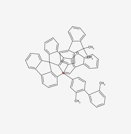 Cc1ccccc1-c1ccc(N(c2ccc3c(c2)C(C)(C)c2ccccc2-3)c2cccc3c2C2(c4ccccc4-3)c3ccccc3-c3c2ccc2c3oc3ccccc32)cc1C